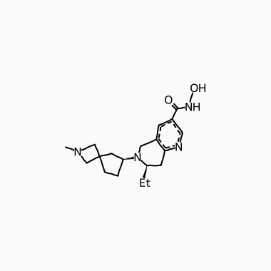 CC[C@@H]1Cc2ncc(C(=O)NO)cc2CN1[C@H]1CCC2(C1)CN(C)C2